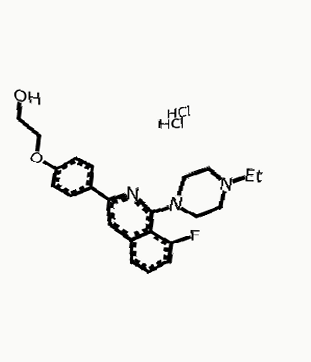 CCN1CCN(c2nc(-c3ccc(OCCO)cc3)cc3cccc(F)c23)CC1.Cl.Cl